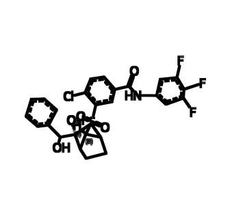 O=C(Nc1cc(F)c(F)c(F)c1)c1ccc(Cl)c(S(=O)(=O)[C@@H]2C3CCC2[C@@](O)(C(O)c2ccccc2)C3)c1